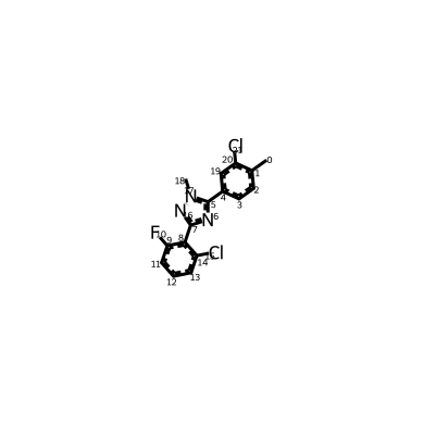 Cc1ccc(-c2nc(-c3c(F)cccc3Cl)nn2C)cc1Cl